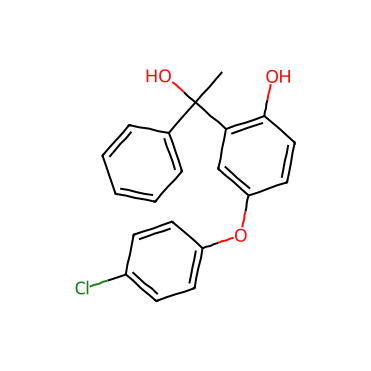 CC(O)(c1ccccc1)c1cc(Oc2ccc(Cl)cc2)ccc1O